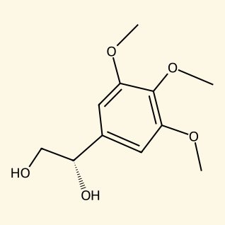 COc1cc([C@H](O)CO)cc(OC)c1OC